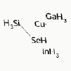 [Cu].[GaH3].[InH3].[SiH3][SeH]